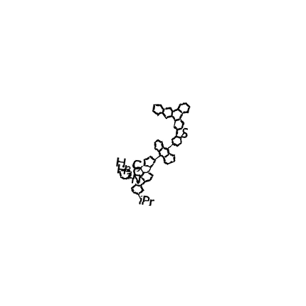 CC(C)c1ccc2c(c1)c1ccc3c(c1n2-c1ccccc1)C(C)(C)c1ccc(-c2c4ccccc4c(-c4ccc5sc6cc7c8ccccc8c8cc9ccccc9cc8c7cc6c5c4)c4ccccc24)cc1-3